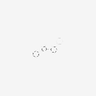 Cc1nc(-c2cccnc2)sc1-c1cccc(N2CCOCC2)n1